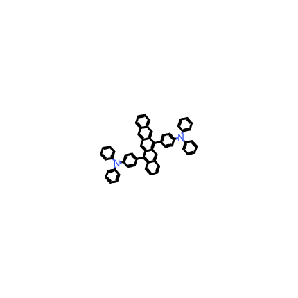 c1ccc(N(c2ccccc2)c2ccc(-c3c4ccccc4cc4c(-c5ccc(N(c6ccccc6)c6ccccc6)cc5)c5cc6ccccc6cc5cc34)cc2)cc1